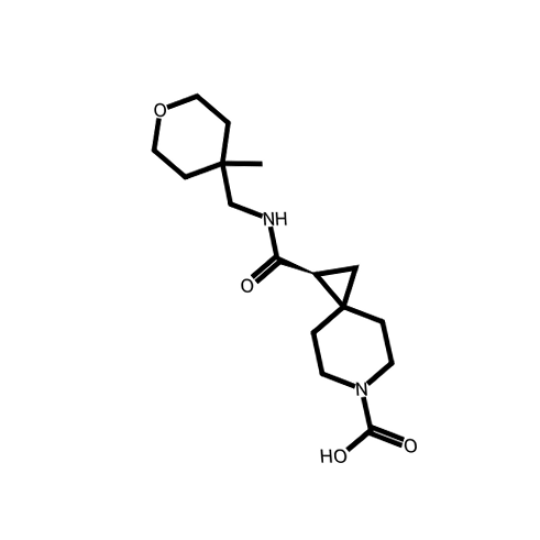 CC1(CNC(=O)[C@H]2CC23CCN(C(=O)O)CC3)CCOCC1